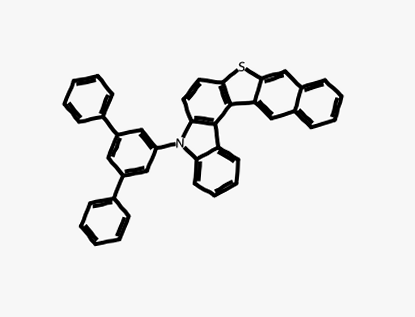 c1ccc(-c2cc(-c3ccccc3)cc(-n3c4ccccc4c4c5c(ccc43)sc3cc4ccccc4cc35)c2)cc1